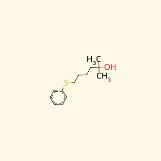 CC(C)(O)CCCCSc1ccccc1